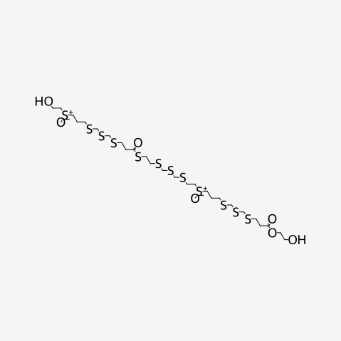 O=C(CCSCSCSCCC[S+]([O-])CCSCSCSCCSC(=O)CCSCSCSCCC[S+]([O-])CCO)OCCO